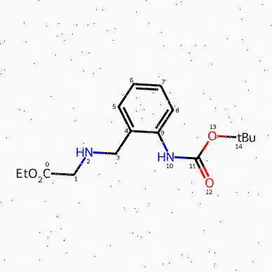 CCOC(=O)CNCc1ccccc1NC(=O)OC(C)(C)C